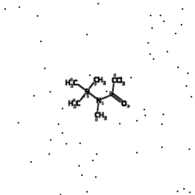 CN(C(=O)C(Cl)(Cl)Cl)[Si](C)(C)C